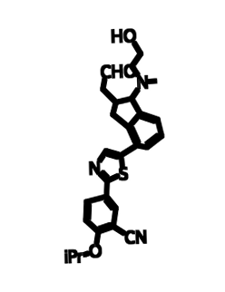 CC(C)Oc1ccc(-c2ncc(-c3cccc4c3CC(CC=O)C4N(C)CCO)s2)cc1C#N